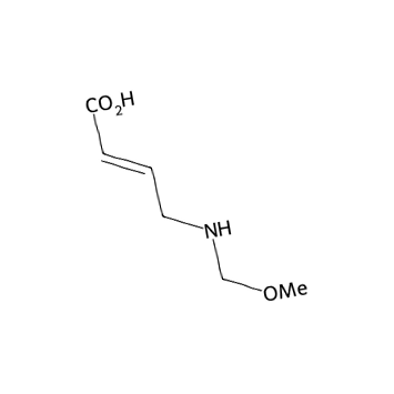 COCNCC=CC(=O)O